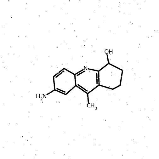 Cc1c2c(nc3ccc(N)cc13)C(O)CCC2